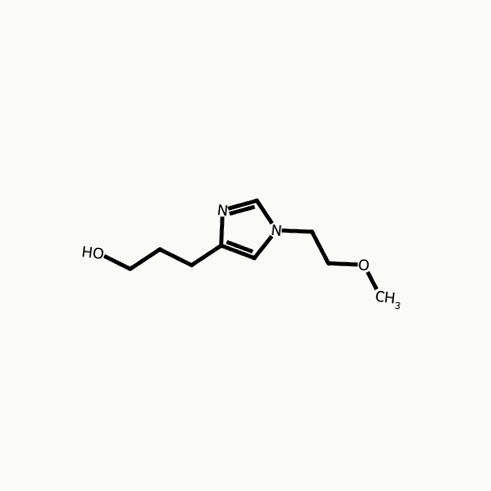 COCCn1cnc(CCCO)c1